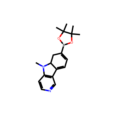 CN1c2ccncc2C2=CC=C(B3OC(C)(C)C(C)(C)O3)CC21